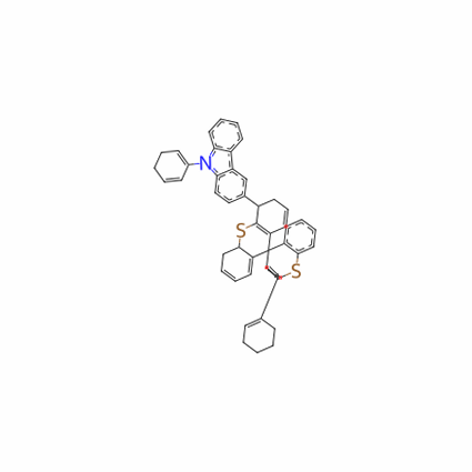 C1=CCC2SC3=C(C=CCC3c3ccc4c(c3)c3ccccc3n4C3=CCCC=C3)C3(C2=C1)C1=C(C=C(C2=CCCCC2)CC1)Sc1ccccc13